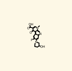 Cn1cc(C(=O)O)c(=O)c2c3cc(F)c(N4CCCC(O)C4)cc3ncc21